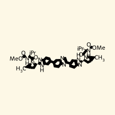 COC(=O)N[C@H](C(=O)N1C2C(C[C@H]1c1nc3ccc(-c4ccc5nc(-c6ccc7nc([C@@H]8CC9C([C@@H]9C)N8C(=O)[C@@H](NC(=O)OC)C(C)C)[nH]c7c6)cnc5c4)cc3[nH]1)[C@H]2C)C(C)C